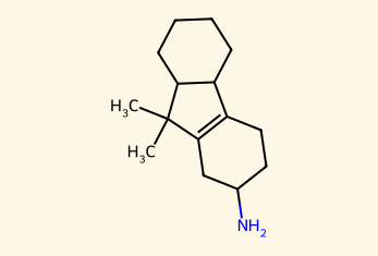 CC1(C)C2=C(CCC(N)C2)C2CCCCC21